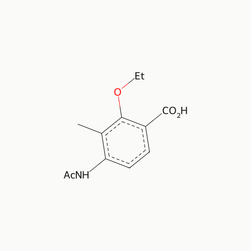 CCOc1c(C(=O)O)ccc(NC(C)=O)c1C